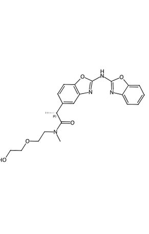 C[C@@H](C(=O)N(C)CCOCCO)c1ccc2oc(Nc3nc4ccccc4o3)nc2c1